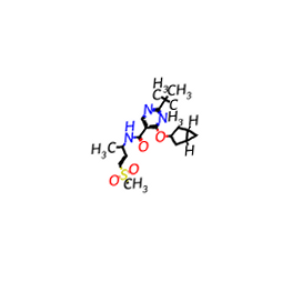 CC(/C=C/S(C)(=O)=O)NC(=O)c1cnc(C(C)(C)C)nc1OC1C[C@@H]2C[C@@H]2C1